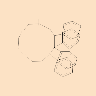 c1ccc(C2CNCCCNCCCN(c3ccccc3)C2(c2ccccc2)c2ccccc2)cc1